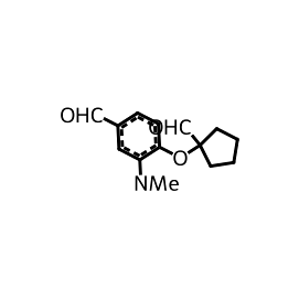 CNc1cc(C=O)ccc1OC1(C=O)CCCC1